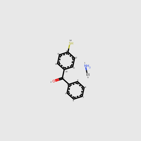 CCN.O=C(c1ccccc1)c1ccc(S)cc1